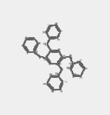 [c]1c(Cc2ccccc2)c(Cc2ccccc2)cc(Cc2ccccc2)c1Cc1ccccc1